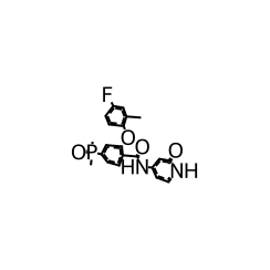 Cc1cc(F)ccc1Oc1cc(P(C)(C)=O)ccc1C(=O)Nc1cc[nH]c(=O)c1